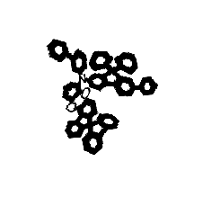 c1ccc(-c2cccc(N(c3ccc4c(c3)C(c3ccccc3)(c3ccccc3)c3cc(-c5ccccc5)ccc3-4)c3cccc4c3Oc3ccc5c(c3O4)-c3ccccc3C53c4ccccc4-c4ccccc43)c2)cc1